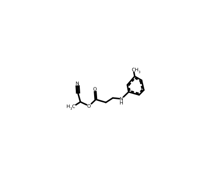 Cc1cccc(NCCC(=O)OC(C)C#N)c1